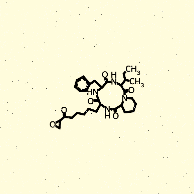 CCC(C)C1NC(=O)C(Cc2ccccc2)NC(=O)C(CCCCCC(=O)C2CO2)NC(=O)C2CCCCN2C1=O